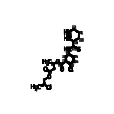 C=C(Cl)COC(=O)CC(C)OC(=O)c1cc(NC(=S)C2CCCNN2)ccc1Cl